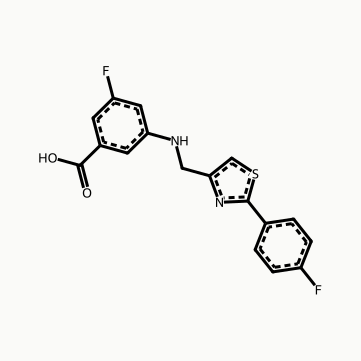 O=C(O)c1cc(F)cc(NCc2csc(-c3ccc(F)cc3)n2)c1